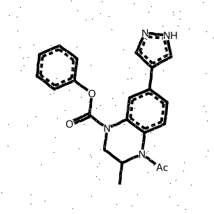 CC(=O)N1c2ccc(-c3cn[nH]c3)cc2N(C(=O)Oc2ccccc2)CC1C